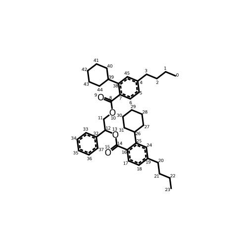 CCCCc1ccc(C(=O)OCC(OC(=O)c2ccc(CCCC)cc2C2CCCCC2)c2ccccc2)c(C2CCCCC2)c1